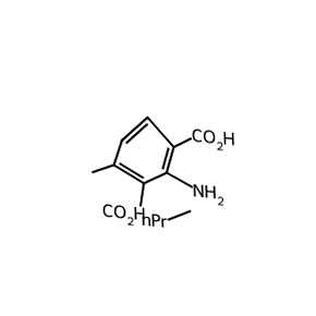 CCCC.Cc1ccc(C(=O)O)c(N)c1C(=O)O